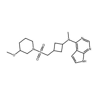 COC1CCCN(S(=O)(=O)CC2CC(N(C)c3ncnc4[nH]ccc34)C2)C1